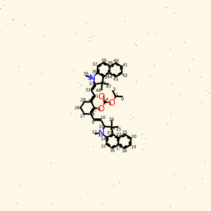 CC(C)OC(=O)OC1=C(/C=C/C2N(C)c3ccc4ccccc4c3C2(C)C)CCC/C1=C\C=C1\N(C)c2ccc3ccccc3c2C1(C)C